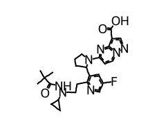 CC(C)(C)C(=O)NN(CCc1ncc(F)cc1C1CCCN1c1ccn2ncc(C(=O)O)c2n1)C1CC1